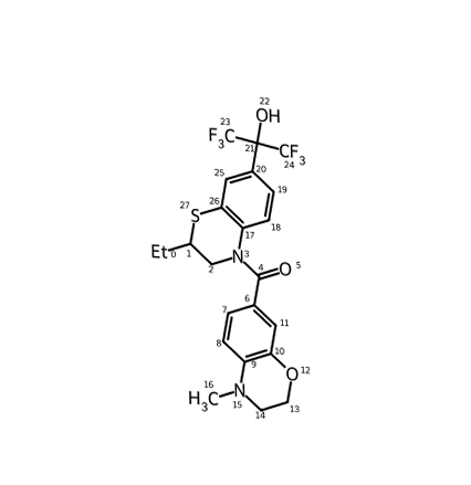 CCC1CN(C(=O)c2ccc3c(c2)OCCN3C)c2ccc(C(O)(C(F)(F)F)C(F)(F)F)cc2S1